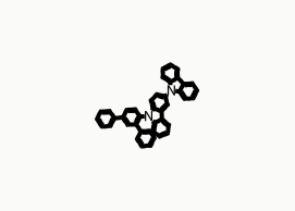 c1ccc(-c2ccc(-n3c4ccccc4c4cc(-n5c6ccccc6c6ccccc65)ccc43)c(-c3ccccc3)c2)cc1